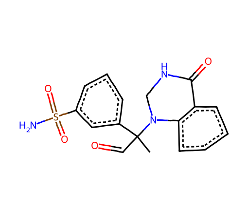 CC(C=O)(c1cccc(S(N)(=O)=O)c1)N1CNC(=O)c2ccccc21